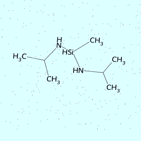 CC(C)N[SiH](C)NC(C)C